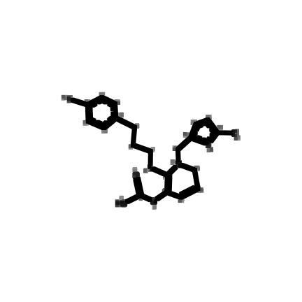 O=C(O)OC1=C(SCCCc2ccc(F)cc2)N(Cc2ccc(Cl)s2)CC=C1